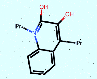 CC(C)c1c(O)c(O)[n+](C(C)C)c2ccccc12